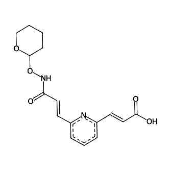 O=C(O)/C=C/c1cccc(/C=C/C(=O)NOC2CCCCO2)n1